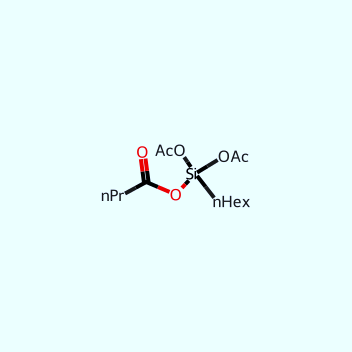 CCCCCC[Si](OC(C)=O)(OC(C)=O)OC(=O)CCC